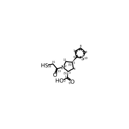 O=C(O)[C@@H]1C[C@H](c2cccs2)CN1C(=O)CS